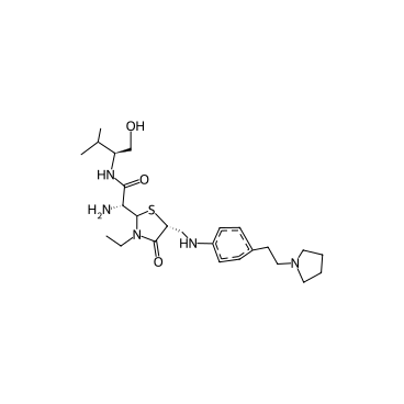 CCN1C(=O)[C@@H](CNc2ccc(CCN3CCCC3)cc2)SC1[C@H](N)C(=O)N[C@H](CO)C(C)C